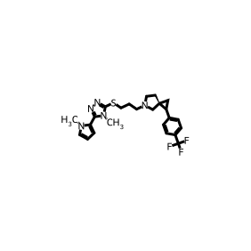 Cn1cccc1-c1nnc(SCCCN2CC[C@]3(CC3c3ccc(C(F)(F)F)cc3)C2)n1C